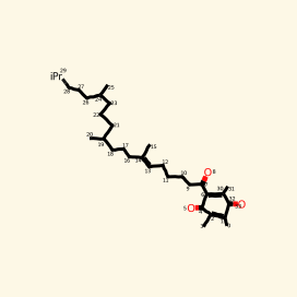 CC1=C(C)C(=O)C(C(=O)CCCC/C=C(\C)CCCC(C)CCCC(C)CCCC(C)C)=C(C)C1=O